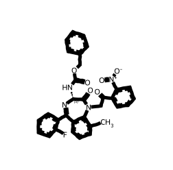 Cc1cccc2c1N(CC(=O)c1ccccc1[N+](=O)[O-])C(=O)[C@@H](NC(=O)OCc1ccccc1)N=C2c1ccccc1F